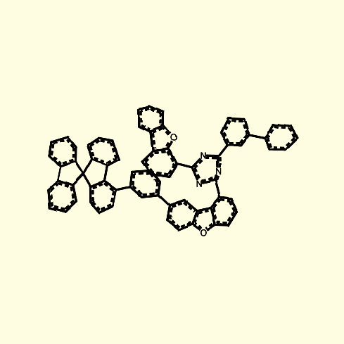 c1ccc(-c2cccc(-c3nc(-c4cccc5c4oc4ccccc45)nc(-c4cccc5oc6ccc(-c7cccc(-c8cccc9c8-c8ccccc8C98c9ccccc9-c9ccccc98)c7)cc6c45)n3)c2)cc1